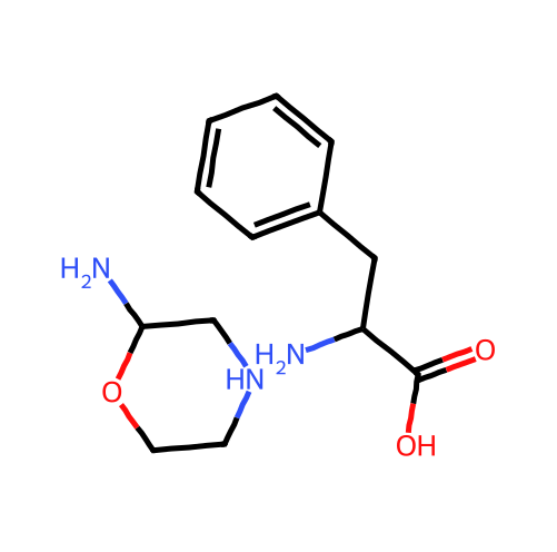 NC(Cc1ccccc1)C(=O)O.NC1CNCCO1